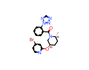 C[C@@H]1CC[C@@H](Oc2cc(Br)ccn2)CN1C(=O)c1ccccc1-n1ncnn1